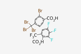 O=C(O)c1c(C(F)(F)F)cc(F)c(F)c1F.O=C(O)c1ccc(C(Br)(Br)Br)cc1Br